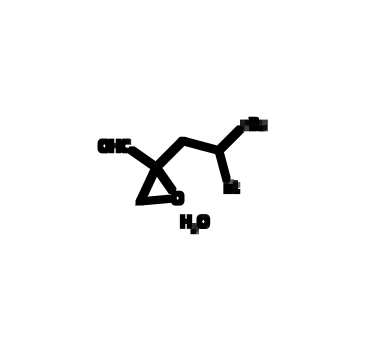 CCCCC(CC)CC1(C=O)CO1.O